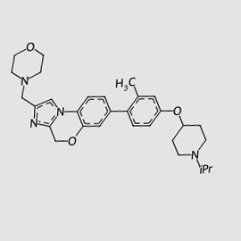 Cc1cc(OC2CCN(C(C)C)CC2)ccc1-c1ccc2c(c1)OCc1nc(CN3CCOCC3)cn1-2